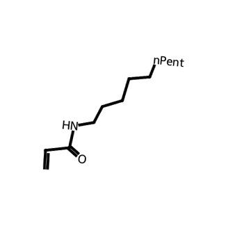 C=CC(=O)NCCCCCCCCCC